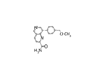 COCc1ccc(-c2cncc3ccc(C(N)=O)nc23)cc1